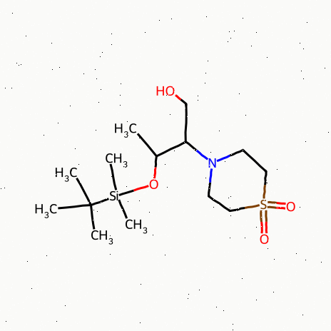 CC(O[Si](C)(C)C(C)(C)C)C(CO)N1CCS(=O)(=O)CC1